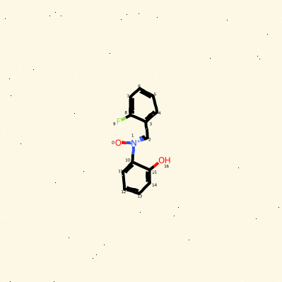 [O-][N+](=Cc1ccccc1F)c1ccccc1O